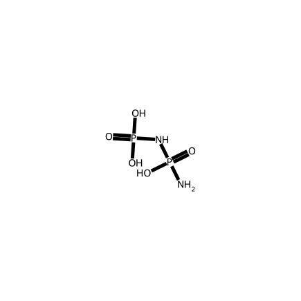 NP(=O)(O)NP(=O)(O)O